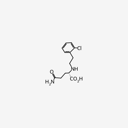 NC(=O)CC[C@H](NCCc1ccccc1Cl)C(=O)O